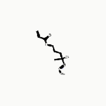 C=CC(=O)OCCCC(C)(C#N)/N=N/C(C)(C)C